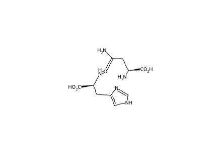 NC(=O)C[C@H](N)C(=O)O.N[C@@H](Cc1c[nH]cn1)C(=O)O